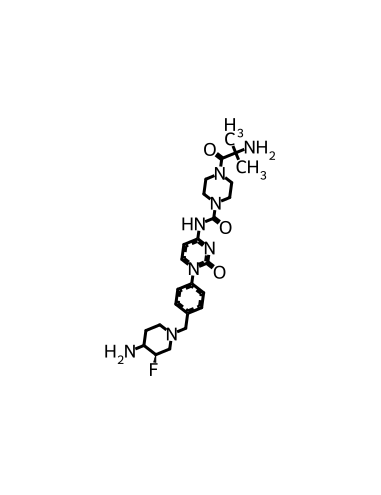 CC(C)(N)C(=O)N1CCN(C(=O)Nc2ccn(-c3ccc(CN4CCC(N)[C@H](F)C4)cc3)c(=O)n2)CC1